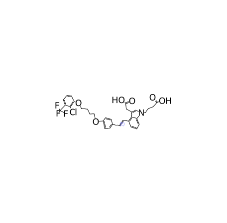 O=C(O)CCCn1cc(CC(=O)O)c2c(/C=C/c3ccc(OCCCCOc4cccc(C(F)(F)F)c4Cl)cc3)cccc21